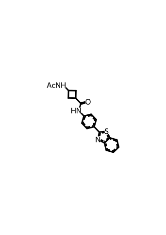 CC(=O)NC1CC(C(=O)Nc2ccc(-c3nc4ccccc4s3)cc2)C1